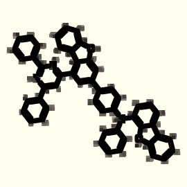 c1ccc(-c2cc(-c3cc(-c4ccc(N(c5ccccc5)c5cccc6c5oc5ccccc56)cc4)cc4oc5ccccc5c34)nc(-c3ccccc3)n2)cc1